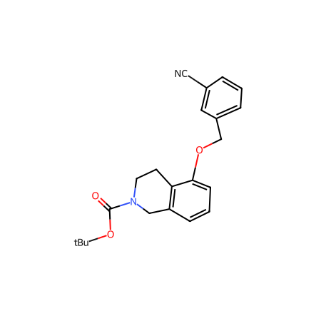 CC(C)(C)OC(=O)N1CCc2c(cccc2OCc2cccc(C#N)c2)C1